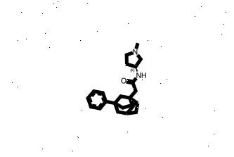 CN1CC[C@@H](NC(=O)CC23CC4CC2CC(c2ccccc2)(C4)C3)C1